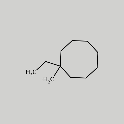 [CH2]C1(CC)CCCCCCC1